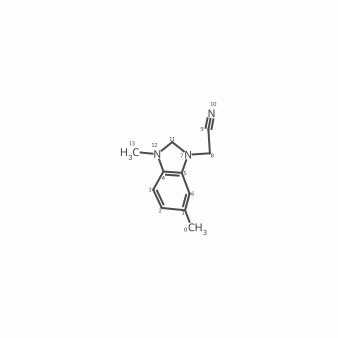 Cc1ccc2c(c1)N(CC#N)CN2C